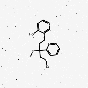 CCOCC(CCc1ccccc1O)(OCC)c1ccccn1